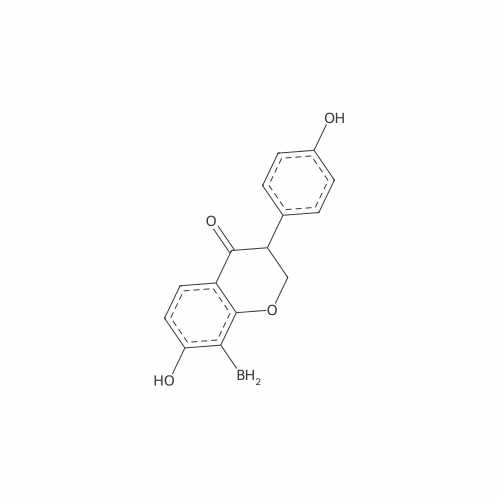 Bc1c(O)ccc2c1OCC(c1ccc(O)cc1)C2=O